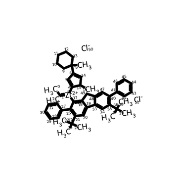 C[C](C)=[Zr+2]([C]1=CC(C2(C)CCCCC2)=CC1C)[c]1c2c(cc(C(C)(C)C)c1-c1ccccc1)-c1cc(C(C)(C)C)c(-c3ccccc3)cc1C2.[Cl-].[Cl-]